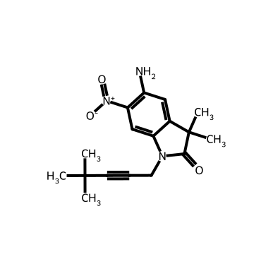 CC(C)(C)C#CCN1C(=O)C(C)(C)c2cc(N)c([N+](=O)[O-])cc21